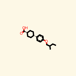 CCC(C)COc1ccc([C@H]2CC[C@H](C(=O)O)CC2)cc1